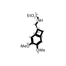 CCOC(=O)NC[C@H]1Cc2cc(OC)c(OC)cc21